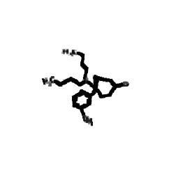 CCCCN(CCCC)C1(c2cccc(O)c2)CCC(=O)CC1